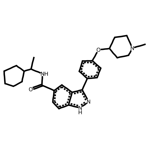 CC(NC(=O)c1ccc2[nH]nc(-c3ccc(OC4CCN(C)CC4)cc3)c2c1)C1CCCCC1